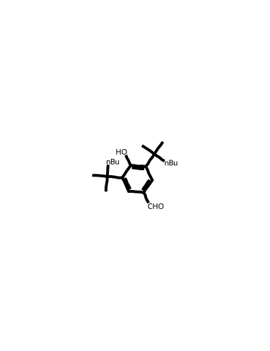 CCCCC(C)(C)c1cc(C=O)cc(C(C)(C)CCCC)c1O